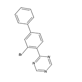 Brc1cc(-c2ccccc2)ccc1-c1ncncn1